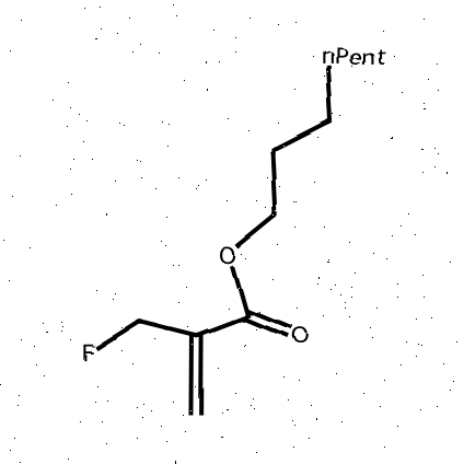 C=C(CF)C(=O)OCCCCCCCC